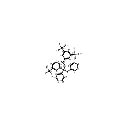 O=C(NC(Cc1ccccc1)(c1cccc(C(F)(F)F)c1)c1ccccn1)c1cc(C(F)(F)F)cc(C(F)(F)F)c1